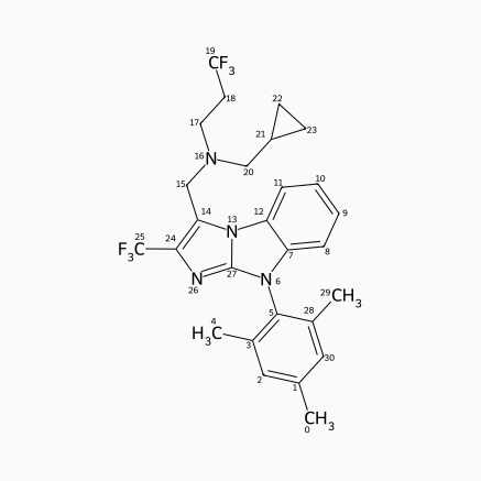 Cc1cc(C)c(-n2c3ccccc3n3c(CN(CCC(F)(F)F)CC4CC4)c(C(F)(F)F)nc23)c(C)c1